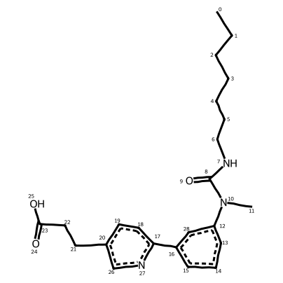 CCCCCCCNC(=O)N(C)c1cccc(-c2ccc(CCC(=O)O)cn2)c1